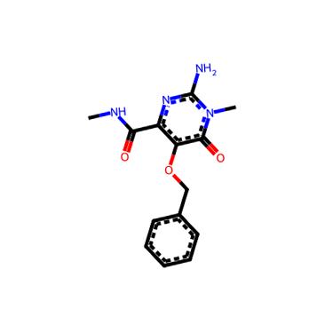 CNC(=O)c1nc(N)n(C)c(=O)c1OCc1ccccc1